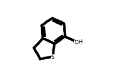 Oc1cccc2c1SCC2